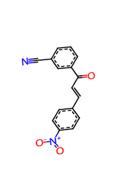 N#Cc1cccc(C(=O)/C=C/c2ccc([N+](=O)[O-])cc2)c1